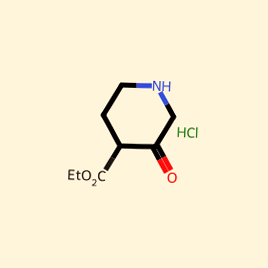 CCOC(=O)C1CCNCC1=O.Cl